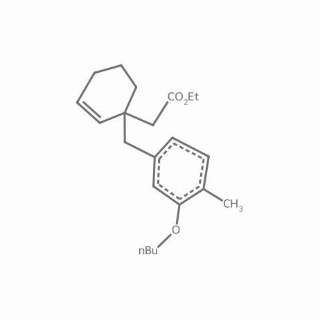 CCCCOc1cc(CC2(CC(=O)OCC)C=CCCC2)ccc1C